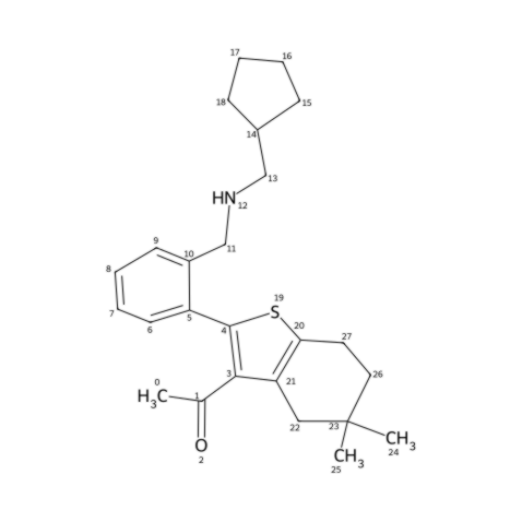 CC(=O)c1c(-c2ccccc2CNCC2CCCC2)sc2c1CC(C)(C)CC2